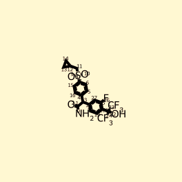 NC(=O)C(c1ccc(S(=O)(=O)CC2CC2)cc1)c1ccc(C(O)(C(F)(F)F)C(F)(F)F)c(F)c1